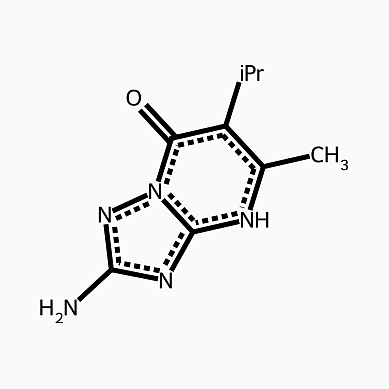 Cc1[nH]c2nc(N)nn2c(=O)c1C(C)C